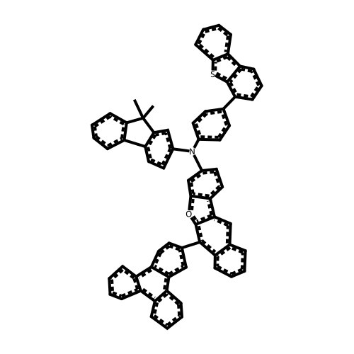 CC1(C)c2ccccc2-c2ccc(N(c3ccc(-c4cccc5c4sc4ccccc45)cc3)c3ccc4c(c3)oc3c(-c5ccc6c7ccccc7c7ccccc7c6c5)c5ccccc5cc34)cc21